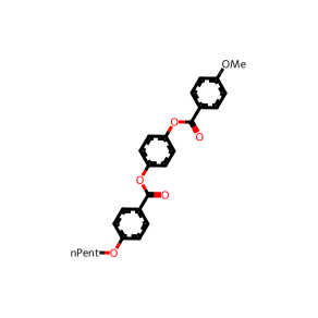 CCCCCOc1ccc(C(=O)Oc2ccc(OC(=O)c3ccc(OC)cc3)cc2)cc1